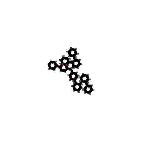 c1ccc(-c2ccc(N(c3ccc(-c4ccccc4-c4ccccc4-c4ccccc4)cc3)c3cccc(-c4ccccc4)c3-c3ccccc3)cc2)cc1